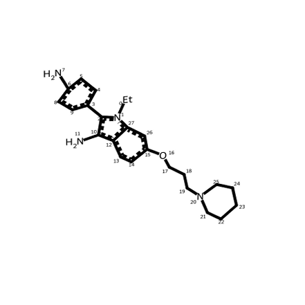 CCn1c(-c2ccc(N)cc2)c(N)c2ccc(OCCCN3CCCCC3)cc21